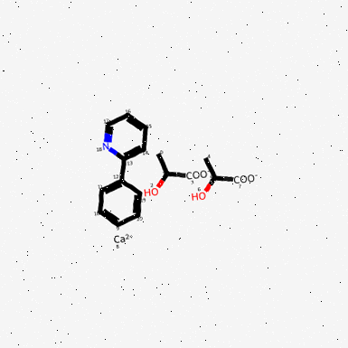 CC(O)C(=O)[O-].CC(O)C(=O)[O-].[Ca+2].c1ccc(-c2ccccn2)cc1